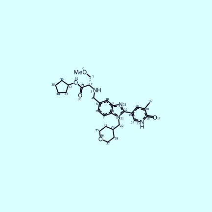 COC[C@H](NCc1ccc2c(c1)nc(-c1c[nH]c(=O)c(C)c1)n2CC1CCOCC1)C(=O)OC1CCCC1